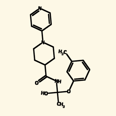 Cc1cccc(OC(C)(O)NC(=O)C2CCN(c3ccncc3)CC2)c1